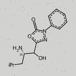 CC(C)C[C@H](N)C(O)c1nn(-c2ccccc2)c(=O)o1